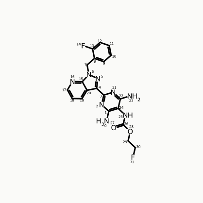 Nc1nc(-c2nn(Cc3ccccc3F)c3ncccc23)nc(N)c1NC(=O)OCCF